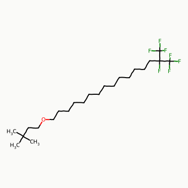 CC(C)(C)CCOCCCCCCCCCCCCCCC(F)(C(F)(F)F)C(F)(F)F